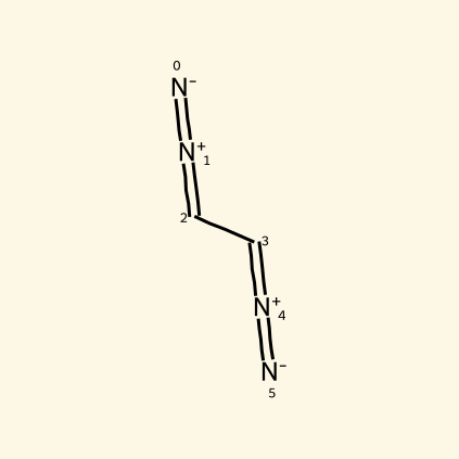 [N-]=[N+]=CC=[N+]=[N-]